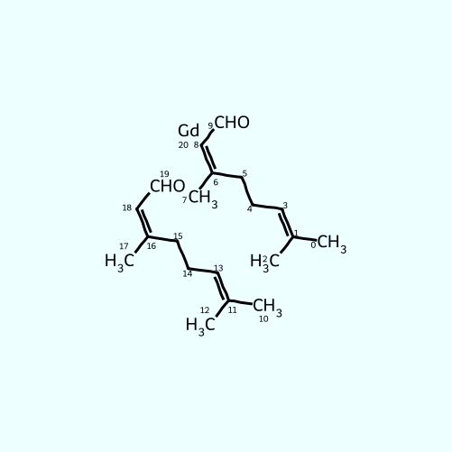 CC(C)=CCC/C(C)=C\C=O.CC(C)=CCC/C(C)=C\C=O.[Gd]